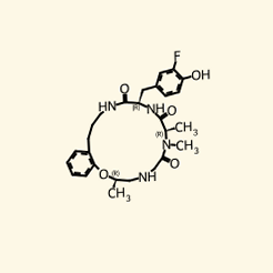 C[C@@H]1CNCC(=O)N(C)[C@H](C)C(=O)N[C@H](Cc2ccc(O)c(F)c2)C(=O)NCCCc2ccccc2O1